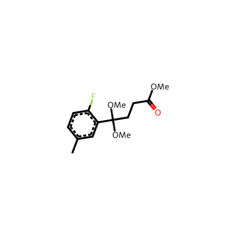 COC(=O)CCC(OC)(OC)c1cc(C)ccc1F